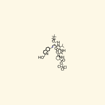 CC(C)C(NC(=O)[C@H](/C=C/c1ccc2ccc(CO)nc2c1)C(C)O[Si](C)(C)C(C)(C)C)C(=O)N[C@@H](C)C(=O)N1CCCC(C(=O)OCC(Cl)(Cl)Cl)N1